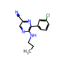 CCCNc1ncc(C#N)nc1-c1cccc(Cl)c1